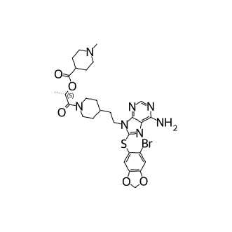 C[C@H](OC(=O)C1CCN(C)CC1)C(=O)N1CCC(CCn2c(Sc3cc4c(cc3Br)OCO4)nc3c(N)ncnc32)CC1